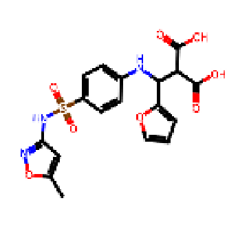 Cc1cc(NS(=O)(=O)c2ccc(NC(c3ccco3)C(C(=O)O)C(=O)O)cc2)no1